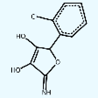 N=C1OC(c2ccccc2Cl)C(O)=C1O